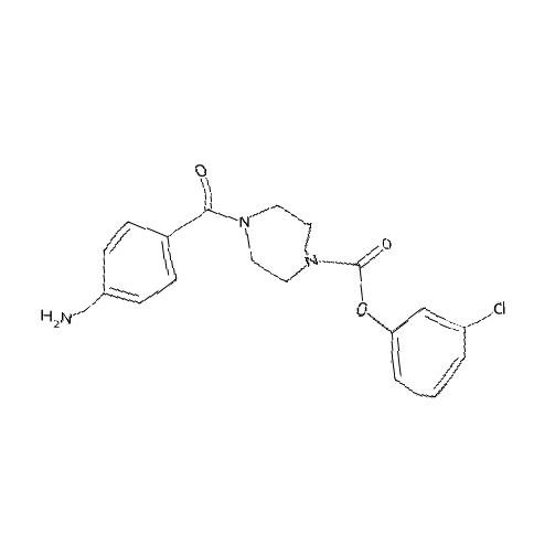 Nc1ccc(C(=O)N2CCN(C(=O)Oc3cccc(Cl)c3)CC2)cc1